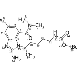 CC(=O)c1cc(C(=O)N(C)C)c2c(c1)nc(N)n2C(C)CCCCNC(=O)OC(C)(C)C